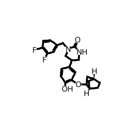 O=C1NCC(c2ccc(O)c(OC3C[C@@H]4CC[C@H]3C4)c2)CN1Cc1ccc(F)c(F)c1